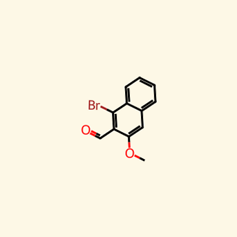 COc1cc2ccccc2c(Br)c1C=O